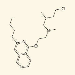 CCCCc1cc2ccccc2c(OCCN(C)CC(C)CCCl)n1